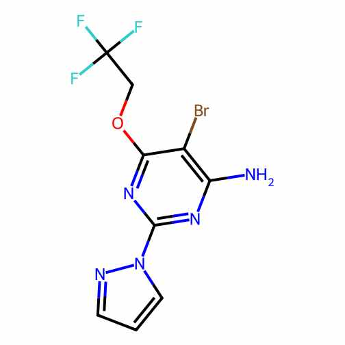 Nc1nc(-n2cccn2)nc(OCC(F)(F)F)c1Br